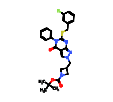 CC(C)(C)OC(=O)N1CC(Cn2cc3c(=O)n(-c4ccccc4)c(SCc4cccc(F)c4)nc3n2)C1